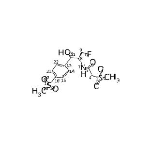 CS(=O)(=O)CC(=O)N[C@H](CF)[C@H](O)c1ccc(S(C)(=O)=O)cc1